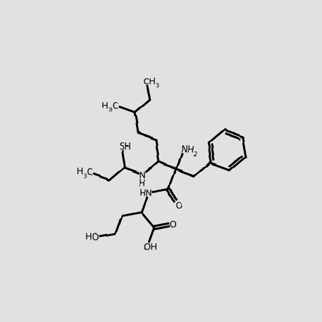 CCC(C)CCC(NC(S)CC)C(N)(Cc1ccccc1)C(=O)NC(CCO)C(=O)O